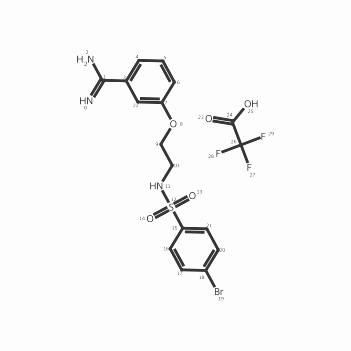 N=C(N)c1cccc(OCCNS(=O)(=O)c2ccc(Br)cc2)c1.O=C(O)C(F)(F)F